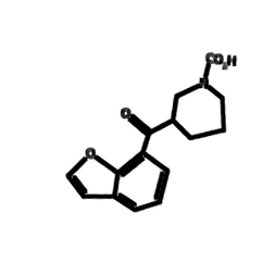 O=C(c1cccc2ccoc12)C1CCCN(C(=O)O)C1